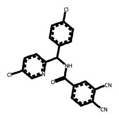 N#Cc1ccc(C(=O)NC(c2ccc(Cl)cc2)c2ccc(Cl)cn2)cc1C#N